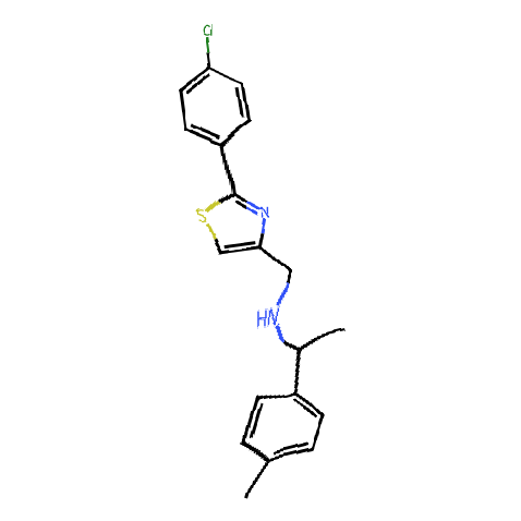 Cc1ccc(C(C)NCc2csc(-c3ccc(Cl)cc3)n2)cc1